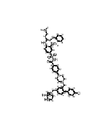 CN(C)CCC(CSc1ccccc1)Nc1ccc(S(=O)(=O)NC(=O)c2ccc(N3CCN(Cc4cc(CN5C[C@H]6CC5CN6)ccc4-c4ccc(Cl)cc4)CC3)cc2)cc1[N+](=O)[O-]